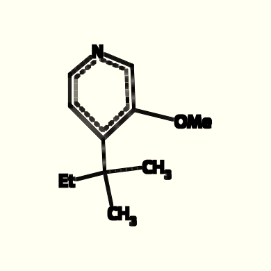 CCC(C)(C)c1ccncc1OC